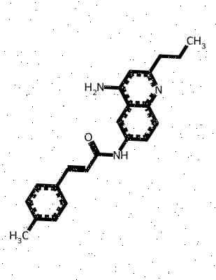 CCCc1cc(N)c2cc(NC(=O)C=Cc3ccc(C)cc3)ccc2n1